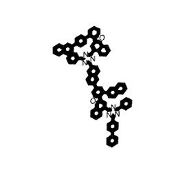 C1=CC2C(c3nc(-c4ccccc4)nc(-c4ccc5cc(-c6cc(-c7ccc8ccccc8c7)c7c(c6)oc6c8ccccc8c(-c8nc(-c9ccccc9)nc(-c9ccc(-c%10ccccc%10)cc9)n8)cc67)ccc5c4)n3)=Cc3c(oc4c3C(c3ccc(-c5ccc6ccccc6c5)cc3)=CCC4)C2C=C1